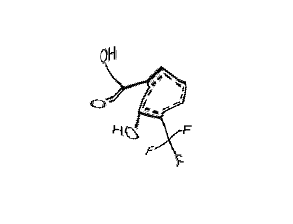 O=C(O)c1cccc(C(F)(F)F)c1O